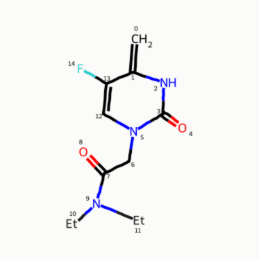 C=C1NC(=O)N(CC(=O)N(CC)CC)C=C1F